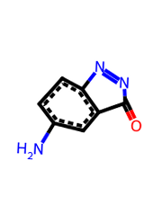 Nc1ccc2c(c1)C(=O)N=N2